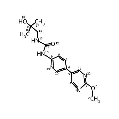 COc1ncc(-c2ccc(NC(=O)NCC(C)(C)O)nc2)cn1